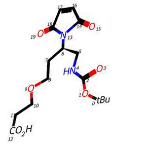 CC(C)(C)OC(=O)NC[C@@H](CCOCCC(=O)O)N1C(=O)C=CC1=O